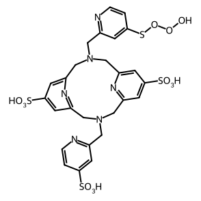 O=S(=O)(O)c1ccnc(CN2Cc3cc(S(=O)(=O)O)cc(n3)CN(Cc3cc(SOOO)ccn3)Cc3cc(S(=O)(=O)O)cc(n3)C2)c1